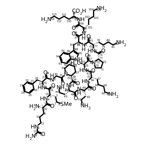 CSCC[C@H](NC(=O)[C@@H](N)CCCNC(N)=O)C(=O)N[C@@H](Cc1ccccc1)C(=O)NCC(=O)N1CCCC[C@H]1C(=O)N[C@@H](CCN)C(=O)N[C@@H](CCN)C(=O)N[C@@H](CCCCN)C(=O)N[C@@H](C)C(=O)N1CCC[C@H]1C(=O)N[C@@H](CCCCN)C(=O)N[C@@H](Cc1c[nH]c2ccccc12)C(=O)N[C@@H](CCCCN)C(=O)N[C@@H](CCCCN)C(=O)O